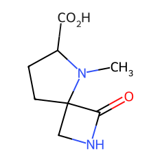 CN1C(C(=O)O)CCC12CNC2=O